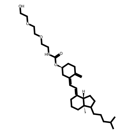 C=C1CC[C@H](OC(=O)NCCOCCOCCO)C/C1=C/C=C1\CCC[C@]2(C)C(CCCC(C)C)CC[C@@H]12